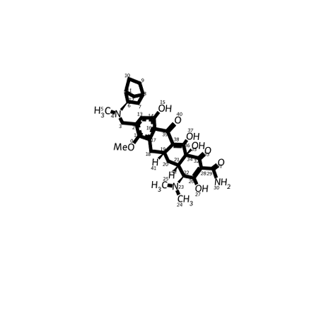 COc1c(CN(C)[C@@H]2CC3CCC2C3)cc(O)c2c1C[C@H]1C[C@H]3[C@H](N(C)C)C(O)=C(C(N)=O)C(=O)[C@@]3(O)C(O)=C1C2=O